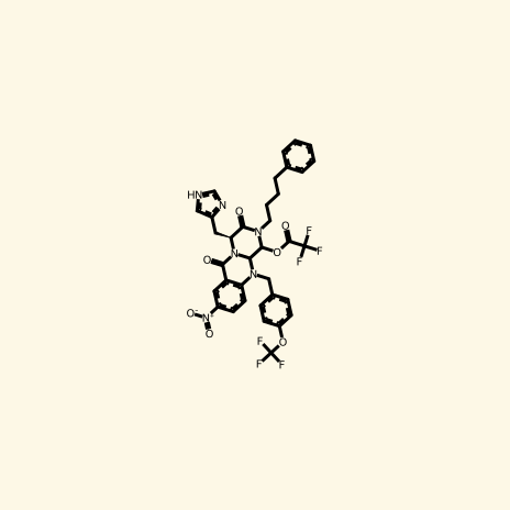 O=C1[C@H](Cc2c[nH]cn2)N2C(=O)c3cc([N+](=O)[O-])ccc3N(Cc3ccc(OC(F)(F)F)cc3)C2C(OC(=O)C(F)(F)F)N1CCCCc1ccccc1